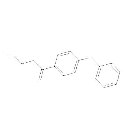 O=C(O)CCC(=O)c1ccc(Oc2ccccc2)cc1